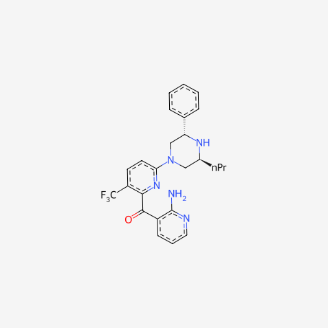 CCC[C@H]1CN(c2ccc(C(F)(F)F)c(C(=O)c3cccnc3N)n2)C[C@H](c2ccccc2)N1